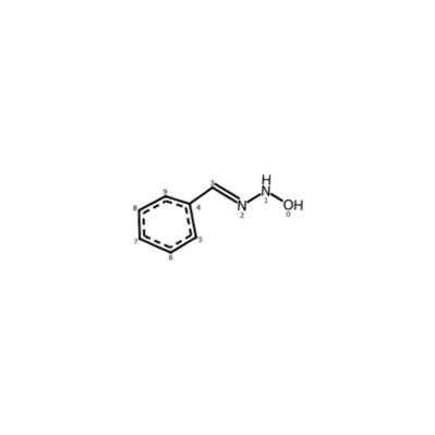 ONN=Cc1ccccc1